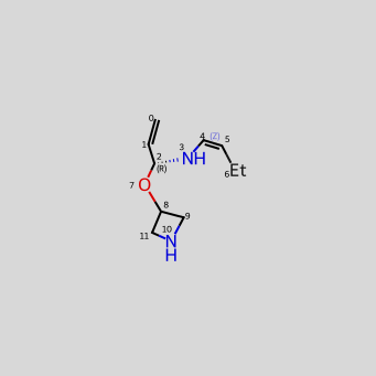 C=C[C@H](N/C=C\CC)OC1CNC1